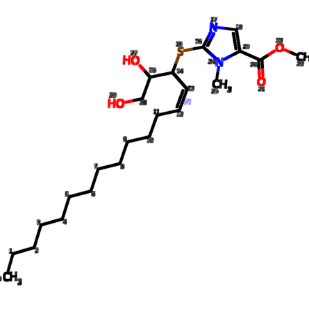 CCCCCCCCCCCC/C=C\C(Sc1ncc(C(=O)OC)n1C)C(O)CO